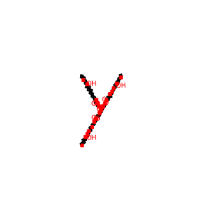 CCCCCCC(O)CCCCCCCCCCC(=O)OCCOCC(COCCOC(=O)CCCCCCCCCCC(O)CCCCCC)OCCOC(=O)CCCCCCCCCCC(O)CCCCCC